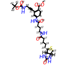 COC(=O)c1ccc(NC(=O)CCCNC(=O)CCCC[C@@H]2SC[C@@H]3NC(=O)N[C@@H]32)cc1C#CCNC(=O)OC(C)(C)C